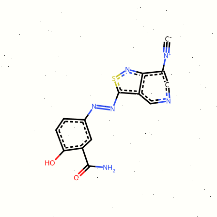 [C-]#[N+]c1cncc2c(/N=N/c3ccc(O)c(C(N)=O)c3)snc12